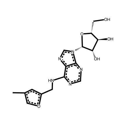 Cc1coc(CNc2ncnc3c2ncn3[C@@H]2O[C@H](CO)[C@@H](O)[C@@H]2O)c1